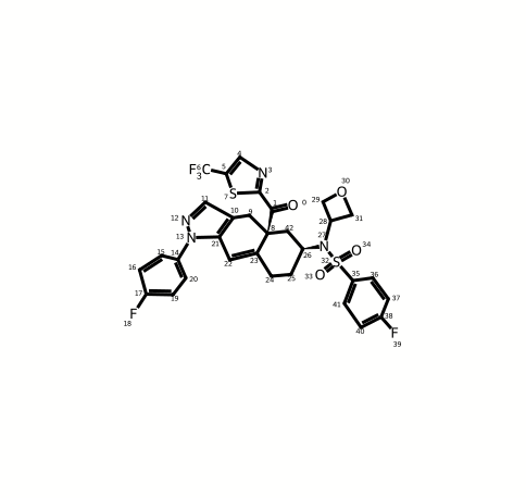 O=C(c1ncc(C(F)(F)F)s1)[C@]12Cc3cnn(-c4ccc(F)cc4)c3C=C1CC[C@H](N(C1COC1)S(=O)(=O)c1ccc(F)cc1)C2